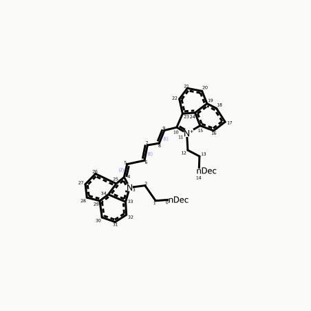 CCCCCCCCCCCCn1\c(=C/C=C/C=C/C2=[N+](CCCCCCCCCCCC)c3cccc4cccc2c34)c2cccc3cccc1c32